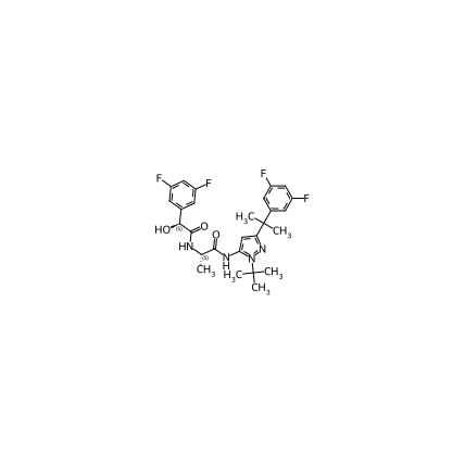 C[C@H](NC(=O)[C@@H](O)c1cc(F)cc(F)c1)C(=O)Nc1cc(C(C)(C)c2cc(F)cc(F)c2)nn1C(C)(C)C